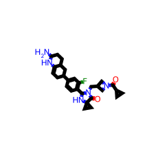 NC1CCC2CC(c3ccc(C4NC5(CC5)C(=O)N4CC4CN(C(=O)C5CC5)C4)c(F)c3)CC=C2N1